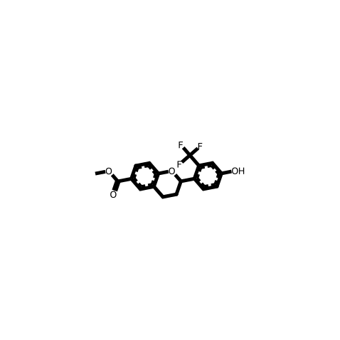 COC(=O)c1ccc2c(c1)CCC(c1ccc(O)cc1C(F)(F)F)O2